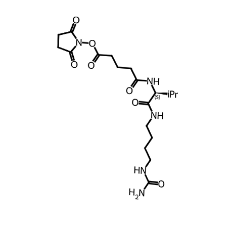 CC(C)[C@H](NC(=O)CCCC(=O)ON1C(=O)CCC1=O)C(=O)NCCCCNC(N)=O